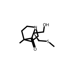 CSC[C@@]1(CO)C(=O)C2(C)CCN1CC2